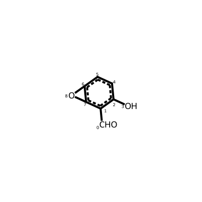 O=Cc1c(O)ccc2c1O2